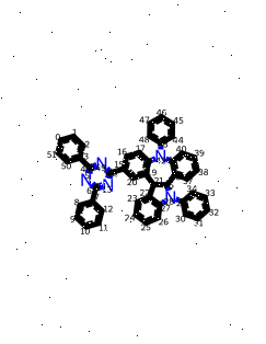 c1ccc(-c2nc(-c3ccccc3)nc(-c3ccc4c(c3)C3c5ccccc5N(c5ccccc5)C3c3ccccc3N4c3ccccc3)n2)cc1